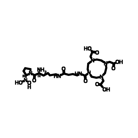 N[C@@H](CCCCNC(=O)CCCNC(=O)N1CCN(CC(=O)O)CCN(CC(=O)O)CCN(CC(=O)O)CC1)C(=O)N1CCC[C@H]1N(O)O